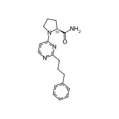 NC(=O)[C@@H]1CCCN1c1ccnc(CCCc2ccccc2)n1